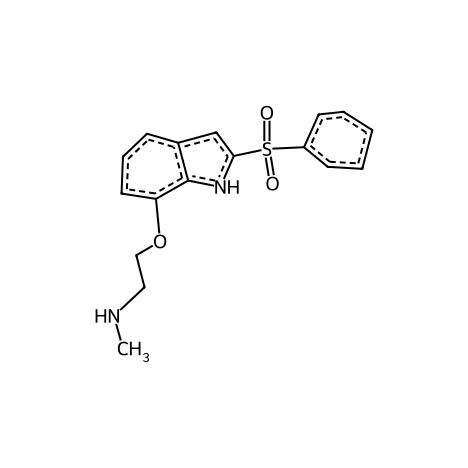 CNCCOc1cccc2cc(S(=O)(=O)c3ccccc3)[nH]c12